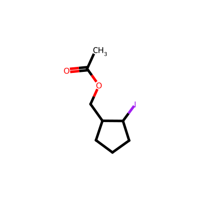 CC(=O)OCC1CCCC1I